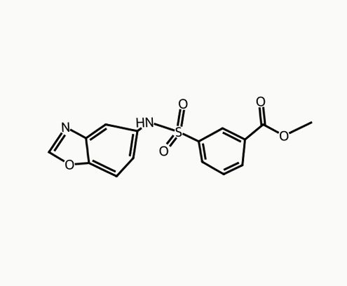 COC(=O)c1cccc(S(=O)(=O)Nc2ccc3ocnc3c2)c1